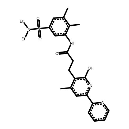 CCN(CC)S(=O)(=O)c1cc(C)c(C)c(NC(=O)CCc2c(C)cc(-c3ccccn3)nc2O)c1